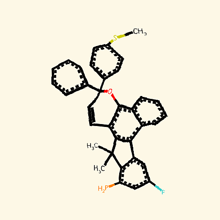 CSc1ccc(C2(c3ccccc3)C=Cc3c4c(c5ccccc5c3O2)-c2cc(F)cc(P)c2C4(C)C)cc1